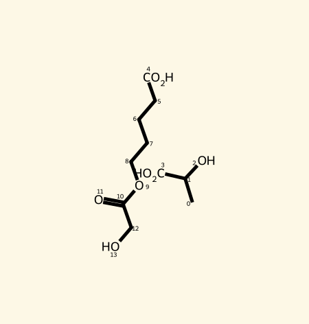 CC(O)C(=O)O.O=C(O)CCCCOC(=O)CO